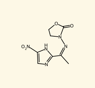 CC(=NN1CCOC1=O)c1ncc([N+](=O)[O-])[nH]1